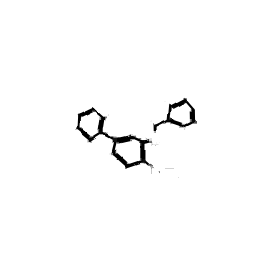 Nc1ccc(-c2ccccc2)cc1OCc1ccccc1